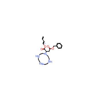 C=C/C=C/OC(=O)C(CC(=O)OCc1ccccc1)N1CCNCCNCCNCC1